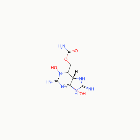 N=C1N[C@H]2C(COC(N)=O)N(O)C(=N)N3CCC(O)C23N1